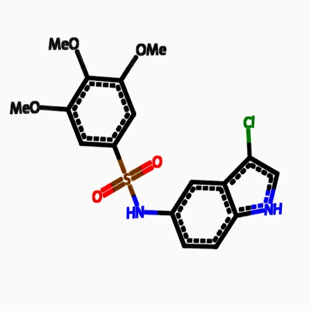 COc1cc(S(=O)(=O)Nc2ccc3[nH]cc(Cl)c3c2)cc(OC)c1OC